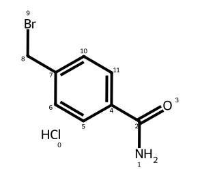 Cl.NC(=O)c1ccc(CBr)cc1